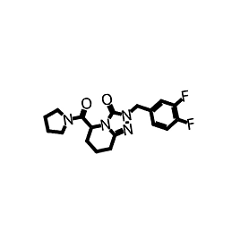 O=C(C1CCCc2nn(Cc3ccc(F)c(F)c3)c(=O)n21)N1CCCC1